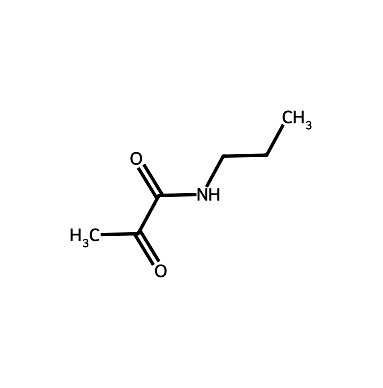 CCCNC(=O)C(C)=O